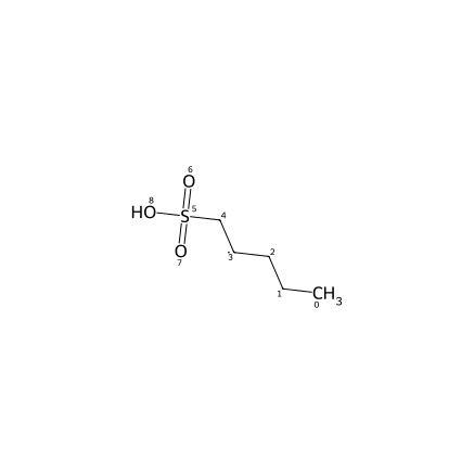 CCC[CH]CS(=O)(=O)O